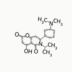 CC(C)n1c(-c2cccc(N(C)C)c2)cc2oc(=O)cc(O)c2c1=O